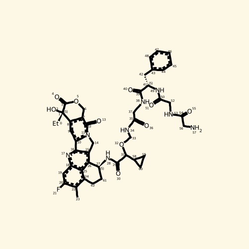 CC[C@@]1(O)C(=O)OCc2c1cc1n(c2=O)Cc2c-1nc1cc(F)c(C)c3c1c2[C@@H](NC(=O)C(OCNC(=O)CNC(=O)[C@H](Cc1ccccc1)NC(=O)CNC(=O)CN)C1CC1)CC3